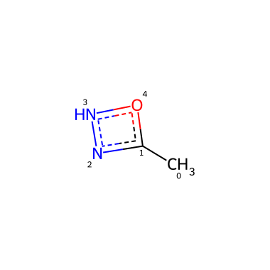 Cc1n[nH]o1